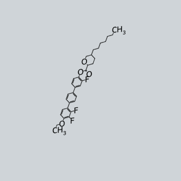 CCCCCCCC1CCC(C(=O)Oc2ccc(-c3ccc(-c4ccc(OCC)c(F)c4F)cc3)cc2F)OC1